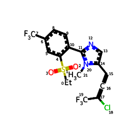 CCS(=O)(=O)c1cc(C(F)(F)F)ccc1-c1ncc(C=C=C(Cl)C(F)(F)F)n1C